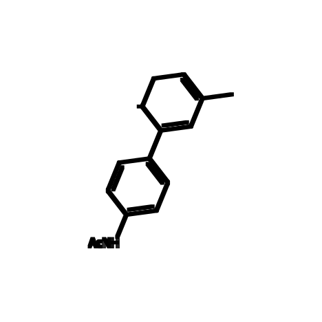 CC(=O)Nc1ccc(C2=CC(C)=CC[CH]2)cc1